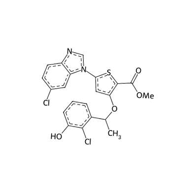 COC(=O)c1sc(-n2cnc3ccc(Cl)cc32)cc1OC(C)c1cccc(O)c1Cl